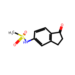 CS(=O)(=O)Nc1ccc2c(c1)CCC2=O